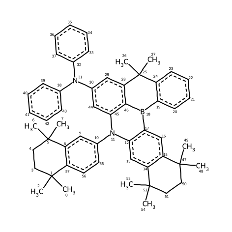 CC1(C)CCC(C)(C)c2cc(N3c4cc5c(cc4B4c6ccccc6C(C)(C)c6cc(N(c7ccccc7)c7ccccc7)cc3c64)C(C)(C)CCC5(C)C)ccc21